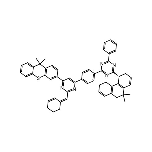 CC1(C)CC2=C(CCC=C2)C2=C1C=CC[C@@H]2c1nc(-c2ccccc2)nc(-c2ccc(-c3cc(-c4ccc5c(c4)Sc4ccccc4C5(C)C)nc(/C=C4\C=CCCC4)n3)cc2)n1